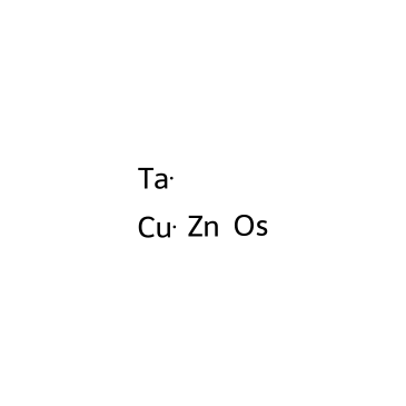 [Cu].[Os].[Ta].[Zn]